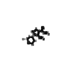 C[C@@H]1C[C@H](n2ncc(C(N)=O)c2N)CCO1